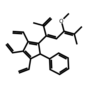 C=CC1=C(C=C)C(c2ccccc2)C(/C(=C/C(OC)=C(C)C)C(=C)C)=C1C=C